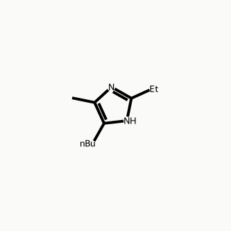 CCCCc1[nH]c(CC)nc1C